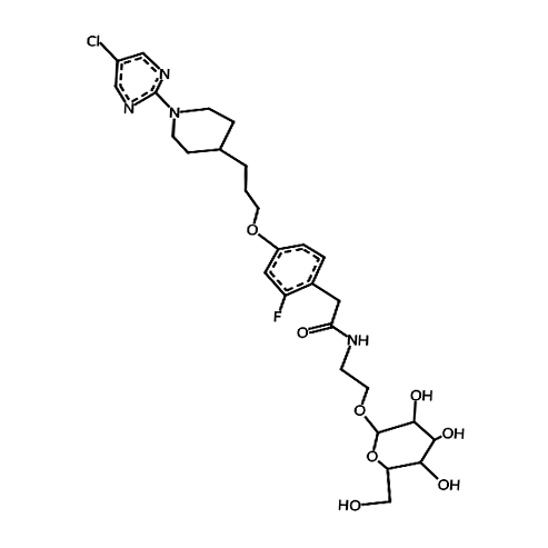 O=C(Cc1ccc(OCCCC2CCN(c3ncc(Cl)cn3)CC2)cc1F)NCCOC1OC(CO)C(O)C(O)C1O